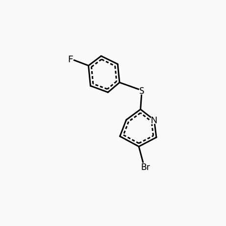 Fc1ccc(Sc2ccc(Br)cn2)cc1